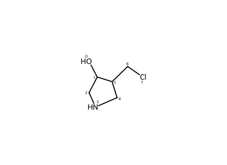 OC1CNCC1CCl